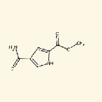 COC(=O)c1cc(C(N)=O)c[nH]1